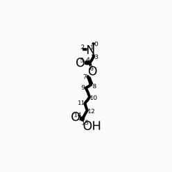 CN(C)CC(=O)OC=CCCCCC(=O)O